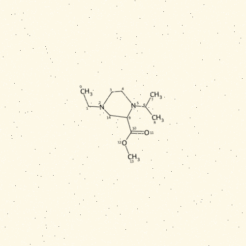 CCN1CCN(C(C)C)C(C(=O)OC)C1